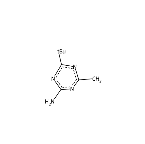 Cc1nc(N)nc(C(C)(C)C)n1